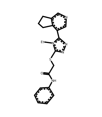 CCn1c(SCC(=O)Nc2ccccc2)nnc1-c1cncc2c1CCC2